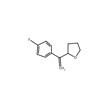 C=C(c1ccc(F)cc1)C1CCCO1